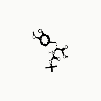 COC(=O)[C@@H](Cc1ccc(OC)c(Cl)c1)NC(=O)OC(C)(C)C